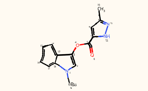 CCCCn1cc(OC(=O)c2cc(C)n[nH]2)c2ccccc21